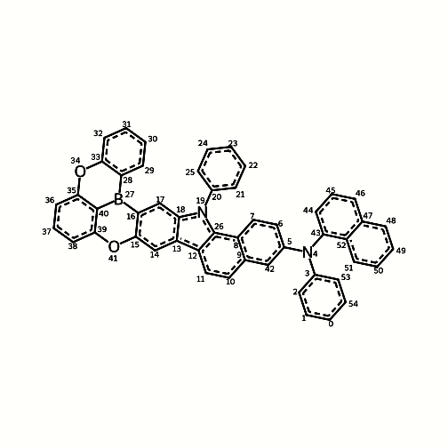 c1ccc(N(c2ccc3c(ccc4c5cc6c(cc5n(-c5ccccc5)c34)B3c4ccccc4Oc4cccc(c43)O6)c2)c2cccc3ccccc23)cc1